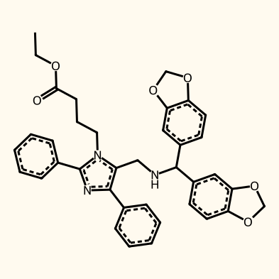 CCOC(=O)CCCn1c(-c2ccccc2)nc(-c2ccccc2)c1CNC(c1ccc2c(c1)OCO2)c1ccc2c(c1)OCO2